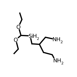 CCOC(OCC)[SiH2]CC(CN)CCN